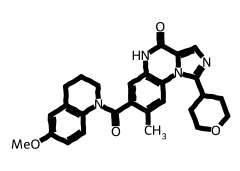 COc1ccc2c(c1)CCCN2C(=O)c1cc2[nH]c(=O)c3cnc(C4CCOCC4)n3c2cc1C